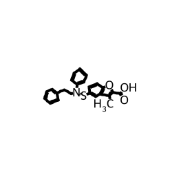 Cc1c(C(=O)O)oc2ccc(SN(CCc3ccccc3)c3ccccc3)cc12